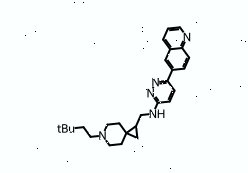 CC(C)(C)CCN1CCC2(CC1)CC2CNc1ccc(-c2ccc3ncccc3c2)nn1